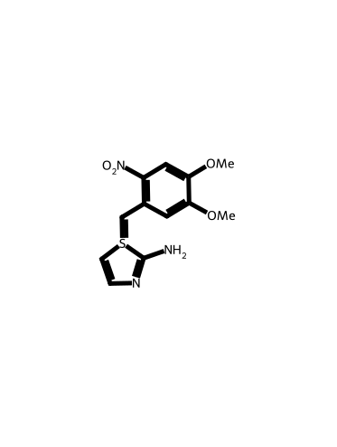 COc1cc(C=S2C=CN=C2N)c([N+](=O)[O-])cc1OC